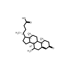 CC1CC2=CC(=O)CC[C@]2(C)C2CC[C@@]3(C)C(CCC3[C@H](C)CCC(=O)O)[C@H]12